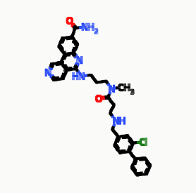 CN(CCCNc1nc2cc(C(N)=O)ccc2c2cnccc12)C(=O)CCNCc1ccc(-c2ccccc2)c(Cl)c1